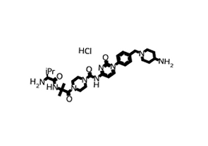 CC(C)[C@H](N)C(=O)NC(C)(C)C(=O)N1CCN(C(=O)Nc2ccn(-c3ccc(CN4CCC(N)CC4)cc3)c(=O)n2)CC1.Cl